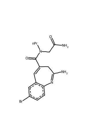 CCCN(CC(N)=O)C(=O)C1=Cc2cc(Br)ccc2N=C(N)C1